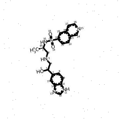 C[C@H](CNCC(O)c1ccc2[nH]cnc2c1)NS(=O)(=O)c1ccc2cnccc2c1